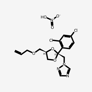 C=CCOC[C@@H]1CO[C@@](Cn2cncn2)(c2ccc(Cl)cc2Cl)O1.O=[N+]([O-])O